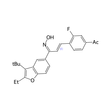 CCc1oc2ccc(C(/C=C/c3ccc(C(C)=O)cc3F)=NO)cc2c1C(C)(C)C